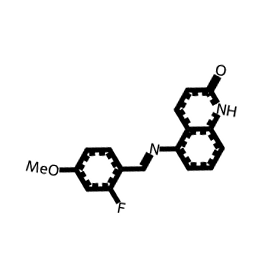 COc1ccc(C=Nc2cccc3[nH]c(=O)ccc23)c(F)c1